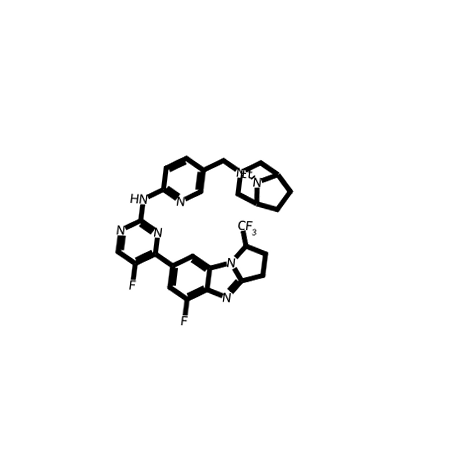 CCN1C2CCC1CN(Cc1ccc(Nc3ncc(F)c(-c4cc(F)c5nc6n(c5c4)C(C(F)(F)F)CC6)n3)nc1)C2